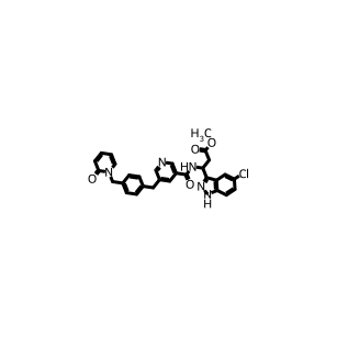 COC(=O)CC(NC(=O)c1cncc(Cc2ccc(Cn3ccccc3=O)cc2)c1)c1n[nH]c2ccc(Cl)cc12